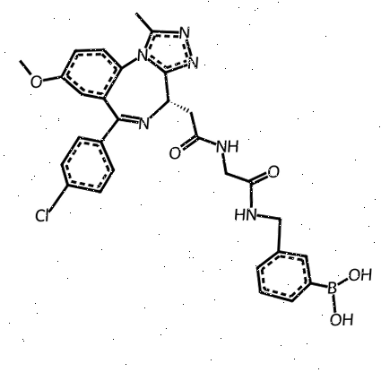 COc1ccc2c(c1)C(c1ccc(Cl)cc1)=N[C@@H](CC(=O)NCC(=O)NCc1cccc(B(O)O)c1)c1nnc(C)n1-2